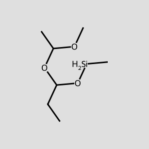 CCC(O[SiH2]C)OC(C)OC